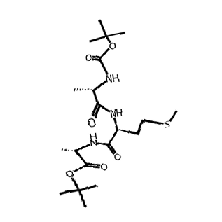 CSCC[C@H](NC(=O)[C@H](C)NC(=O)OC(C)(C)C)C(=O)N[C@@H](C)C(=O)OC(C)(C)C